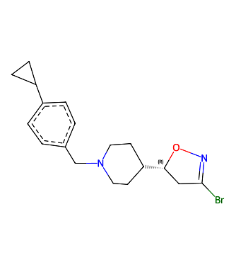 BrC1=NO[C@@H](C2CCN(Cc3ccc(C4CC4)cc3)CC2)C1